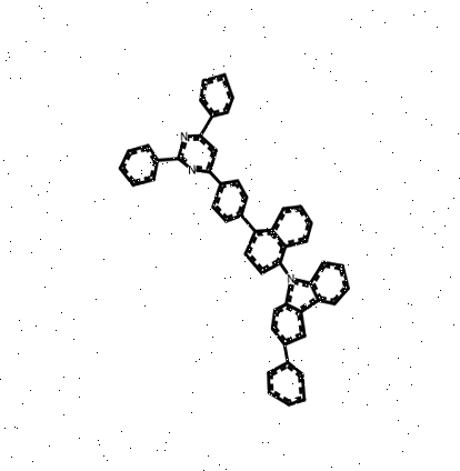 c1ccc(-c2ccc3c(c2)c2ccccc2n3-c2ccc(-c3ccc(-c4cc(-c5ccccc5)nc(-c5ccccc5)n4)cc3)c3ccccc23)cc1